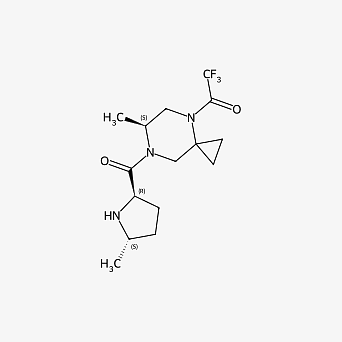 C[C@H]1CC[C@H](C(=O)N2CC3(CC3)N(C(=O)C(F)(F)F)C[C@@H]2C)N1